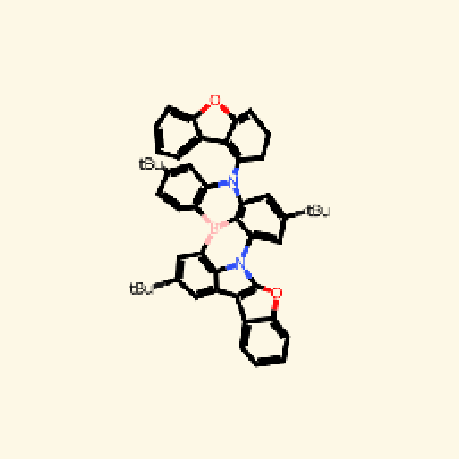 CC(C)(C)c1ccc2c(c1)N(C1=c3c(oc4ccccc34)=CCC1)c1cc(C(C)(C)C)cc3c1B2c1cc(C(C)(C)C)cc2c4c5ccccc5oc4n-3c12